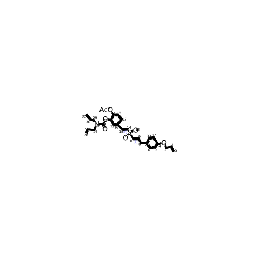 C=CCOc1ccc(C/C=C/S(=O)(=O)/C=C/c2ccc(OC(C)=O)c(OC(=O)N(CC=C)CC=C)c2)cc1